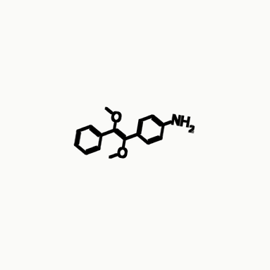 COC(=C(OC)c1ccc(N)cc1)c1ccccc1